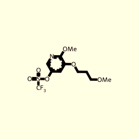 COCCCOc1cc(OS(=O)(=O)C(F)(F)F)cnc1OC